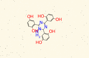 NN1C(c2cc(O)ccc2O)=NC(c2cc(O)ccc2O)=NC1c1cc(O)ccc1O